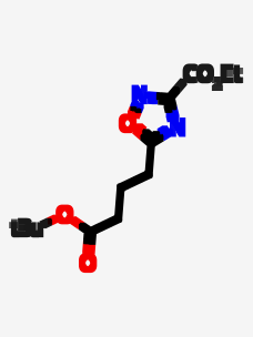 CCOC(=O)c1noc(CCCC(=O)OC(C)(C)C)n1